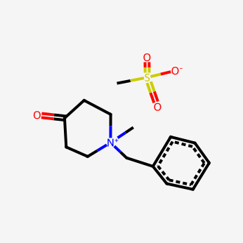 CS(=O)(=O)[O-].C[N+]1(Cc2ccccc2)CCC(=O)CC1